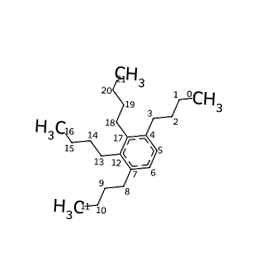 CCCCc1ccc(CCCC)c(CCCC)c1CCCC